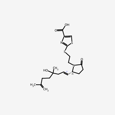 C=C(C)CCC(C)(O)C/C=C/[C@H]1CCC(=O)N1CCSc1nc(C(=O)O)cs1